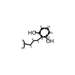 CC(C)CCCc1c(O)cccc1O